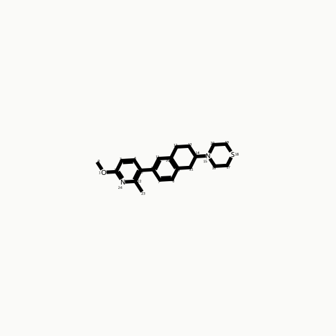 COc1ccc(-c2ccc3c(c2)CCC(N2CCSCC2)C3)c(C)n1